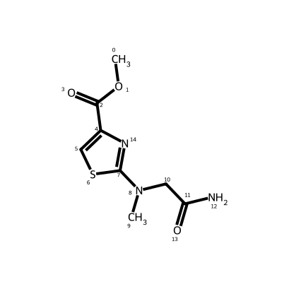 COC(=O)c1csc(N(C)CC(N)=O)n1